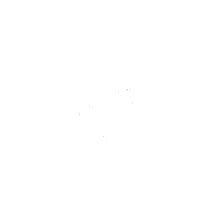 O=c1[nH]c(=O)n(CCCN2C[C@@H]3C[C@]3(c3ccc(C(F)(F)F)cc3)C2)cc1-c1cnsc1